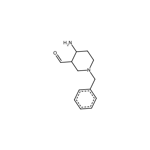 NC1CCN(Cc2ccccc2)CC1C=O